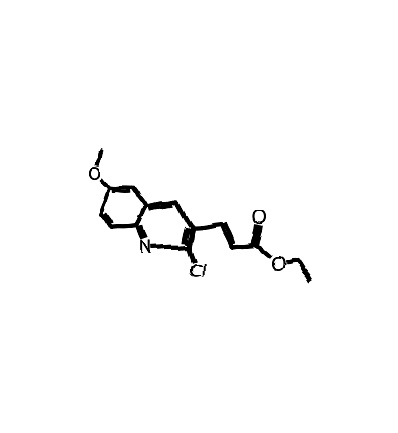 CCOC(=O)C=Cc1cc2cc(OC)ccc2nc1Cl